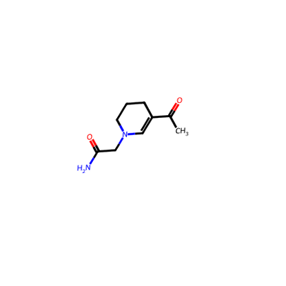 CC(=O)C1=CN(CC(N)=O)CCC1